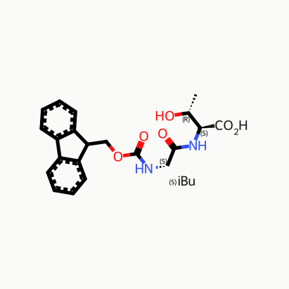 CC[C@H](C)[C@H](NC(=O)OCC1c2ccccc2-c2ccccc21)C(=O)N[C@H](C(=O)O)[C@@H](C)O